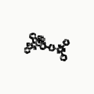 CC1(C)c2ccccc2-c2c1c(-c1ccc(-c3ccc(-c4nc(-c5ccccc5)nc(-c5ccccc5)n4)cc3)cc1)nc1c2oc2ccccc21